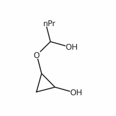 CCCC(O)OC1CC1O